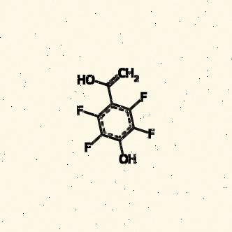 C=C(O)c1c(F)c(F)c(O)c(F)c1F